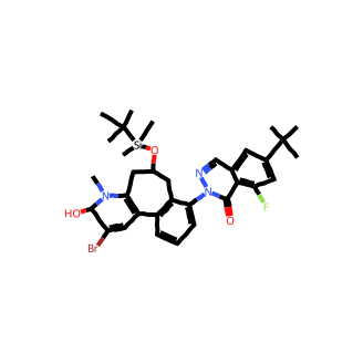 CN1C2=C(C=C(Br)C1O)c1cccc(-n3ncc4cc(C(C)(C)C)cc(F)c4c3=O)c1CC(O[Si](C)(C)C(C)(C)C)C2